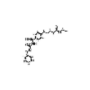 CCOC(=O)CCCCc1ccc(C(=N)NC(=O)OCc2ccccc2)cc1